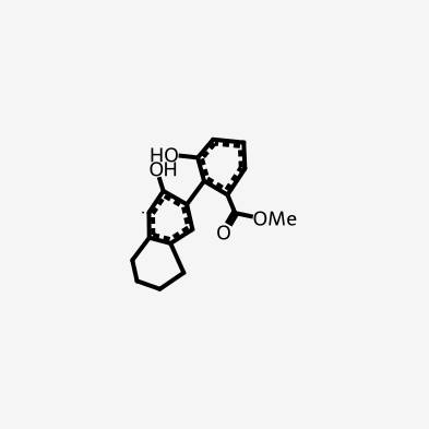 COC(=O)c1cccc(O)c1-c1cc2c([c]c1O)CCCC2